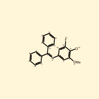 COc1cc(N=C(c2ccccc2)c2ccccc2)cc(F)c1Cl